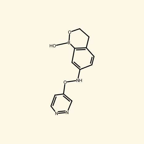 OB1OCCc2ccc(NOc3ccnnc3)cc21